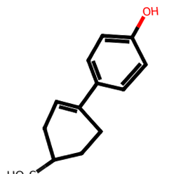 O=C(O)C1CC=C(c2ccc(O)cc2)CC1